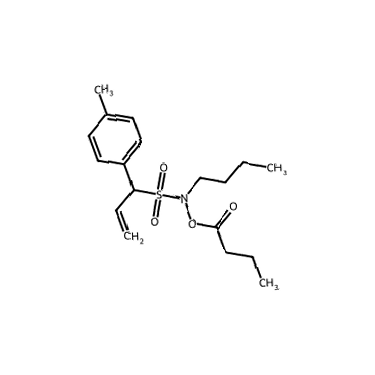 C=CC(c1ccc(C)cc1)S(=O)(=O)N(CCCC)OC(=O)CCC